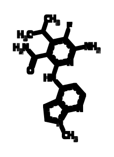 CC(C)c1c(F)c(N)nc(Nc2ccnc3c2ccn3C)c1C(N)=O